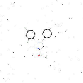 COc1ccc(C2CC(C(=O)Cl)=NN2c2ccc(Cl)cc2Cl)cc1